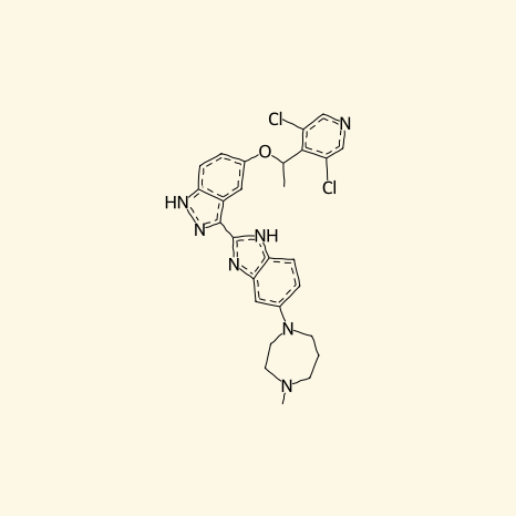 CC(Oc1ccc2[nH]nc(-c3nc4cc(N5CCCN(C)CC5)ccc4[nH]3)c2c1)c1c(Cl)cncc1Cl